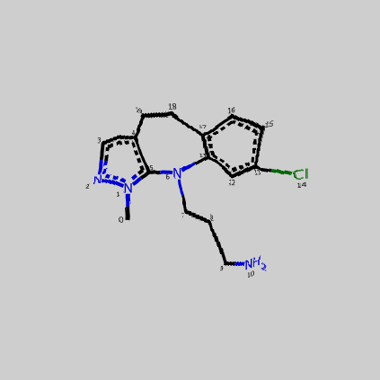 Cn1ncc2c1N(CCCN)c1cc(Cl)ccc1CC2